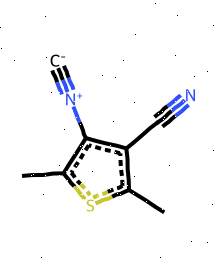 [C-]#[N+]c1c(C)sc(C)c1C#N